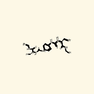 CC(C)CNC(=O)[C@H](CC(C)C)NC(=S)Nc1ccc(NC(=S)N[C@@H](CC(C)C)C(=O)NCC(C)C)cc1